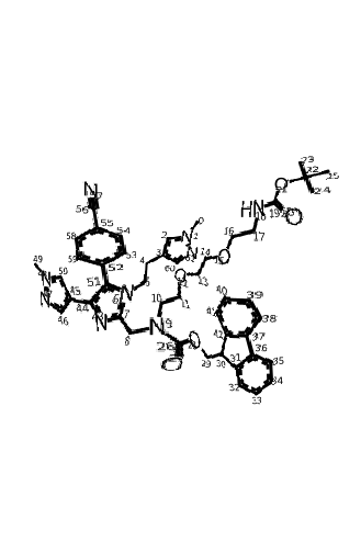 Cn1cc(CCn2c(CN(CCOCCOCCNC(=O)OC(C)(C)C)C(=O)OCC3c4ccccc4-c4ccccc43)nc(-c3cnn(C)c3)c2-c2ccc(C#N)cc2)cn1